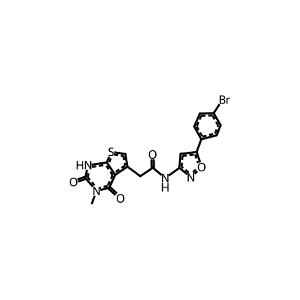 Cn1c(=O)[nH]c2scc(CC(=O)Nc3cc(-c4ccc(Br)cc4)on3)c2c1=O